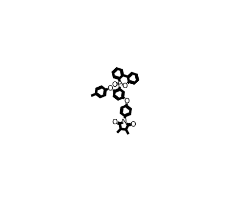 Cc1ccc(Oc2ccc(Oc3ccc(N4C(=O)C(C)C(C)C4=O)cc3)cc2P2(=O)Oc3ccccc3-c3ccccc32)cc1